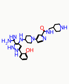 N=C(N)C1=C(NC2CCN(c3ccnc(C(=O)NCC4CCNCC4)c3)CC2)C=C(c2ccccc2O)NN1